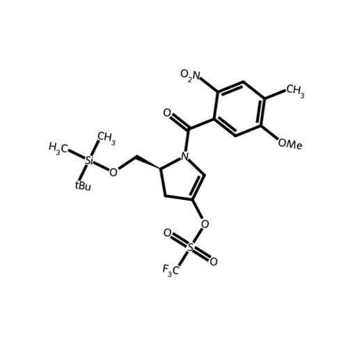 COc1cc(C(=O)N2C=C(OS(=O)(=O)C(F)(F)F)C[C@H]2CO[Si](C)(C)C(C)(C)C)c([N+](=O)[O-])cc1C